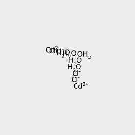 O.O.O.O.O.[Cd+2].[Cd+2].[Cl-].[Cl-].[Cl-].[Cl-]